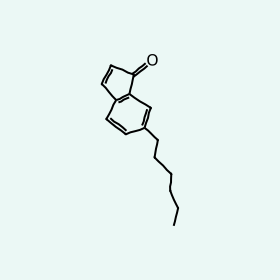 CCCCCCc1ccc2c(c1)C(=O)C=C2